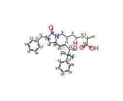 CC(SCCCCN1C(=O)N(Cc2ccccc2)C[C@@H]1/C=C/C(O)C(F)(F)c1ccccc1)C(=O)O